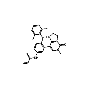 C=CC(=O)Nc1ccc(Oc2c(C)cccc2C)c(-c2cn(C)c(=O)c3c2NCC3)c1